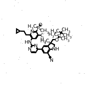 Cc1cc(Nc2nccc(-c3cc(C#N)c4c(c3)[C@@](C)(CO[Si](C)(C)C(C)(C)C)CN4)n2)c(CCC2CC2)nc1P(C)(C)=O